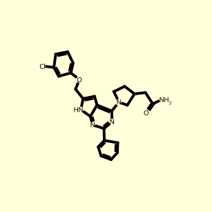 NC(=O)CC1CCN(c2nc(-c3ccccc3)nc3[nH]c(COc4cccc(Cl)c4)cc23)C1